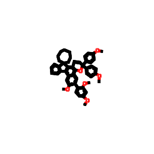 COc1ccc(C2(c3ccc(OC)cc3)C=Cc3c4c(c5cc(OC)c(-c6ccc(OC)cc6OC)cc5c3O2)-c2ccccc2C42CCCCCCC2)cc1